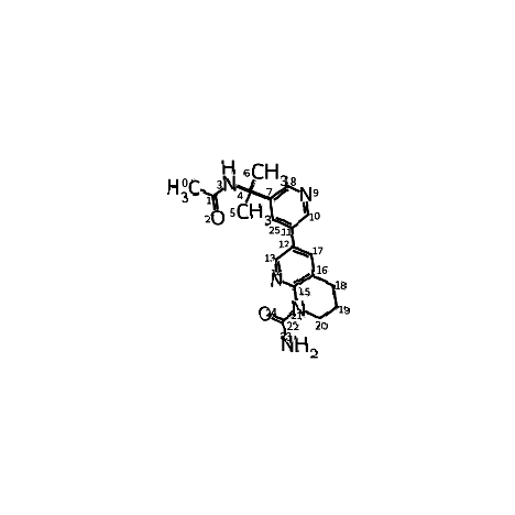 CC(=O)NC(C)(C)c1cncc(-c2cnc3c(c2)CCCN3C(N)=O)c1